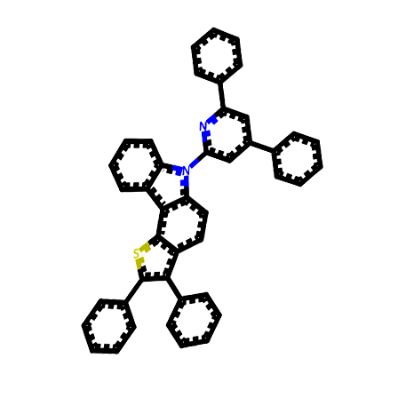 c1ccc(-c2cc(-c3ccccc3)nc(-n3c4ccccc4c4c5sc(-c6ccccc6)c(-c6ccccc6)c5ccc43)c2)cc1